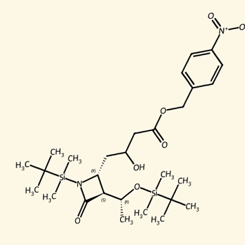 C[C@@H](O[Si](C)(C)C(C)(C)C)[C@H]1C(=O)N([Si](C)(C)C(C)(C)C)[C@@H]1CC(O)CC(=O)OCc1ccc([N+](=O)[O-])cc1